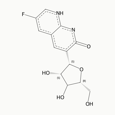 O=c1nc2[nH]cc(F)cc-2cc1[C@@H]1O[C@H](CO)C(O)[C@@H]1O